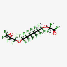 O=C(F)C(F)(F)OC(F)(F)C(F)(F)C(F)(F)C(F)(F)C(F)(F)C(F)(F)OC(F)(F)C1(F)OC1(F)F